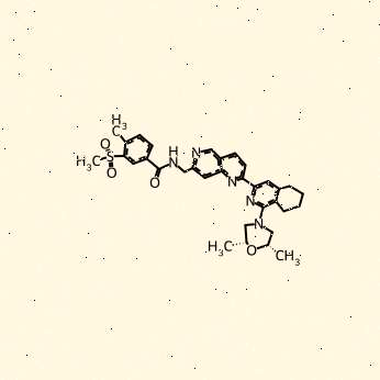 Cc1ccc(C(=O)NCc2cc3nc(-c4cc5c(c(N6C[C@@H](C)O[C@@H](C)C6)n4)CCCC5)ccc3cn2)cc1S(C)(=O)=O